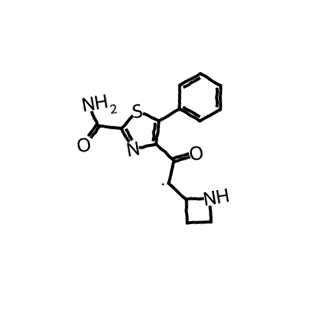 NC(=O)c1nc(C(=O)[CH]C2CCN2)c(-c2ccccc2)s1